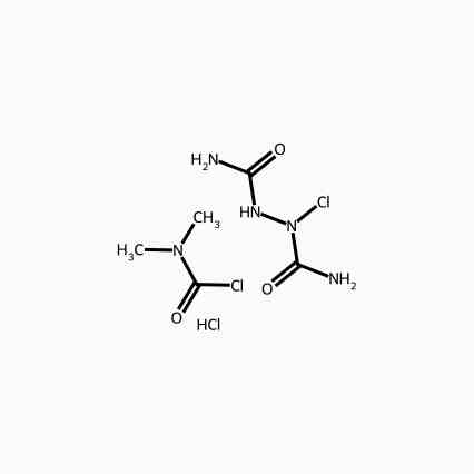 CN(C)C(=O)Cl.Cl.NC(=O)NN(Cl)C(N)=O